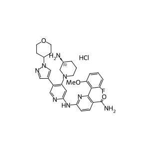 COc1cccc(F)c1-c1nc(Nc2cc(N3CCC[C@H](N)C3)c(-c3cnn(C4CCOCC4)c3)cn2)ccc1C(N)=O.Cl